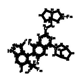 Cc1cc2[nH]nc(I)c2c(-c2c(F)cc3c(N4CC5CCC(C5)C4)nc(OC[C@@]45CCCN4C[C@H](F)C5)nc3c2F)c1C(F)(F)F